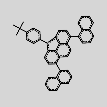 CC(C)(C)c1ccc(-n2c3ccc(-c4cccc5ccccc45)c4ccc5c(-c6cccc7ccccc67)ccc2c5c43)cc1